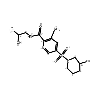 Nc1cc(S(=O)(=O)N2CCCC(F)C2)cnc1C(=O)NCC(O)C(F)(F)F